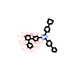 Bc1c(B)c(B)c(-c2c(B)c(B)c(B)c3oc4c(B)c(-c5nc(-c6ccc(-c7ccccc7)cc6)nc(-c6ccc(-c7ccccc7)cc6)n5)c(B)c(B)c4c23)c(B)c1B